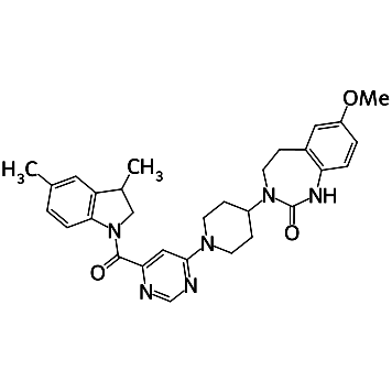 COc1ccc2c(c1)CCN(C1CCN(c3cc(C(=O)N4CC(C)c5cc(C)ccc54)ncn3)CC1)C(=O)N2